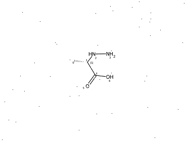 C[C@H](NN)C(=O)O